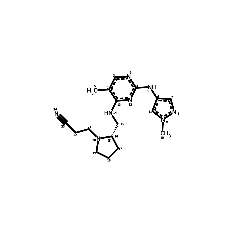 Cc1cnc(Nc2cnn(C)c2)nc1NC[C@@H]1CCCN1CCC#N